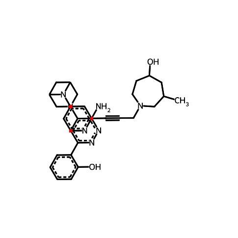 CC1CC(O)CCN(CC#Cc2cc(N3C4CC3CN(c3cc(-c5ccccc5O)nnc3N)C4)ccn2)C1